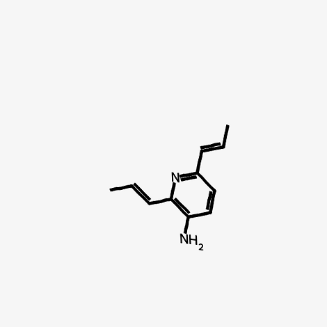 CC=Cc1ccc(N)c(C=CC)n1